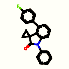 O=C1N(c2ccccc2)c2cccc(-c3ccc(F)cc3)c2C12CC2